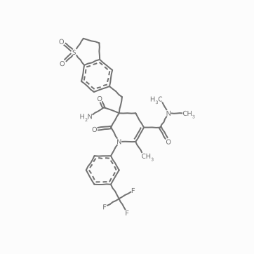 CC1=C(C(=O)N(C)C)CC(Cc2ccc3c(c2)CCS3(=O)=O)(C(N)=O)C(=O)N1c1cccc(C(F)(F)F)c1